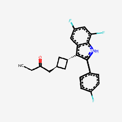 N#CCC(=O)C[C@H]1C[C@H](c2c(-c3ccc(F)cc3)[nH]c3c(F)cc(F)cc32)C1